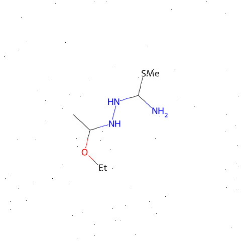 CCOC(C)NNC(N)SC